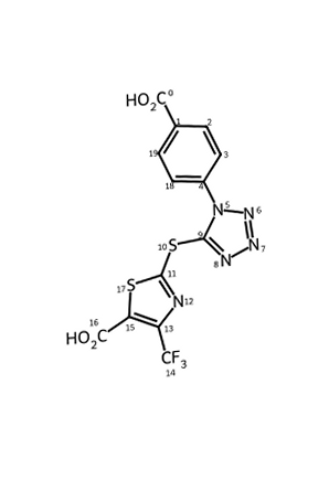 O=C(O)c1ccc(-n2nnnc2Sc2nc(C(F)(F)F)c(C(=O)O)s2)cc1